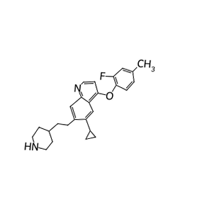 Cc1ccc(Oc2ccnc3cc(CCC4CCNCC4)c(C4CC4)cc23)c(F)c1